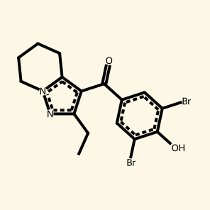 CCc1nn2c(c1C(=O)c1cc(Br)c(O)c(Br)c1)CCCC2